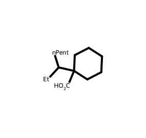 CCCCCC(CC)C1(C(=O)O)CCCCC1